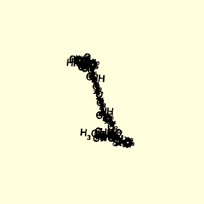 CS(=O)(=O)n1ccc(C(=O)N[C@@H](COCc2ccc(C(=O)NCCOCCOCCOCCNC(=O)COc3cccc4c3C(=O)N(C3CCC(=O)NC3=O)C4=O)cc2)C(=O)Nc2nc(-c3ccccc3)cs2)c1